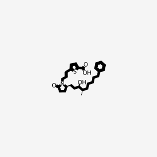 C[C@@H](CCCCCc1ccccc1)[C@H](O)CC[C@H]1CCC(=O)N1CC=Cc1ccc(C(=O)O)s1